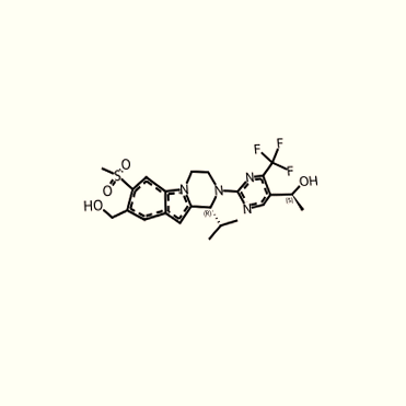 CC(C)[C@@H]1c2cc3cc(CO)c(S(C)(=O)=O)cc3n2CCN1c1ncc([C@H](C)O)c(C(F)(F)F)n1